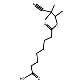 CC(OC(=O)CCCCCCC(=O)O)C(C)(C)C#N